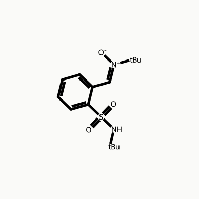 CC(C)(C)NS(=O)(=O)c1ccccc1/C=[N+](\[O-])C(C)(C)C